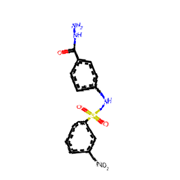 NNC(=O)c1ccc(NS(=O)(=O)c2cccc([N+](=O)[O-])c2)cc1